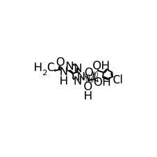 C=CC(=O)Nc1ncnc2c1cnn2[C@@H]1O[C@H](C(O)c2ccc(Cl)cc2)[C@@H](O)[C@H]1O